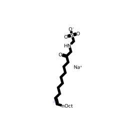 CCCCCCCC/C=C\CCCCCCCC(=O)CNCS(=O)(=O)[O-].[Na+]